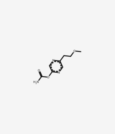 COCCc1cnc(OC(N)=O)cn1